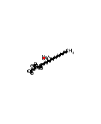 CCCCCCCCCCCCCCCCCC(=O)NNC(CCC(=O)[O-])C(=O)[O-].[Na+].[Na+]